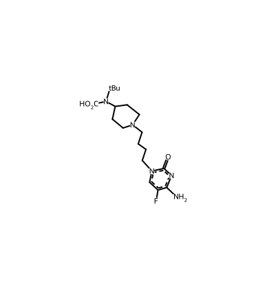 CC(C)(C)N(C(=O)O)C1CCN(CCCCn2cc(F)c(N)nc2=O)CC1